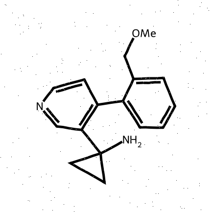 COCc1ccccc1-c1ccncc1C1(N)CC1